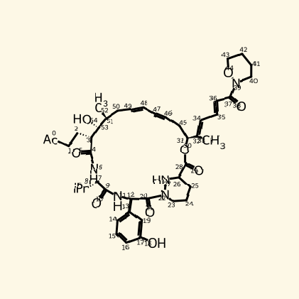 CC(=O)CC[C@H]1C(=O)N[C@@H](C(C)C)C(=O)NC(c2cccc(O)c2)C(=O)N2CCCC(N2)C(=O)O[C@H](/C(C)=C/C=C/C(=O)N2CCCCO2)C/C=C/C=C/C[C@H](C)[C@H]1O